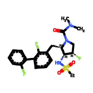 CCS(=O)(=O)N[C@H]1[C@@H](F)CN(C(=O)N(C)C)[C@H]1Cc1cccc(-c2ccccc2F)c1F